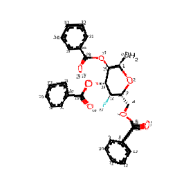 B[C@H]1O[C@H](COC(=O)c2ccccc2)[C@@H](F)[C@H](OC(=O)c2ccccc2)[C@H]1OC(=O)c1ccccc1